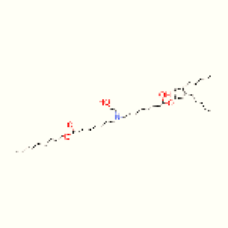 CCCCCCCCCOC(=O)CCCCCCCN(CCO)CCCCCCCC(O)Oc1ccc(CCCCC)c(CCCCC)c1